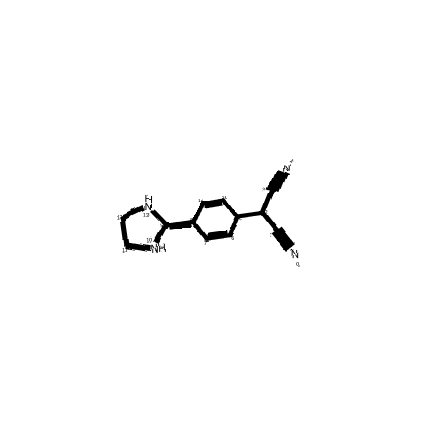 N#CC(C#N)C1C=CC(=C2NCCN2)C=C1